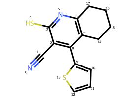 N#Cc1c(S)nc2c(c1-c1cccs1)CCCC2